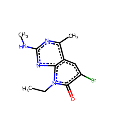 CCn1c(=O)c(Br)cc2c(C)nc(NC)nc21